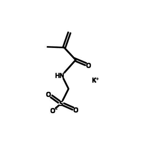 C=C(C)C(=O)NCS(=O)(=O)[O-].[K+]